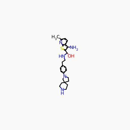 Cc1ccc2c(N)c(C(O)NCCc3ccc(N4CCC5(CCNCC5)C4)cc3)sc2n1